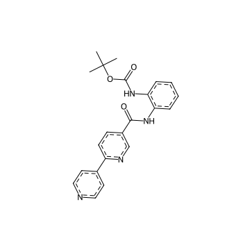 CC(C)(C)OC(=O)Nc1ccccc1NC(=O)c1ccc(-c2ccncc2)nc1